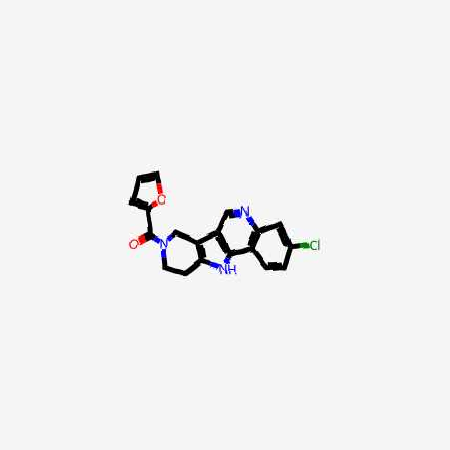 O=C(c1ccco1)N1CCc2[nH]c3c(cnc4cc(Cl)ccc43)c2C1